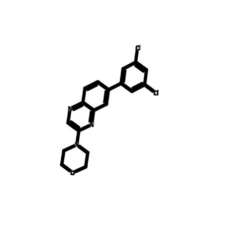 Clc1cc(Cl)cc(-c2ccc3ncc(N4CCOCC4)nc3c2)c1